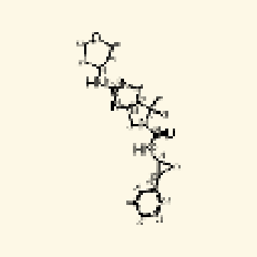 CC1(C)c2cnc(NC3CCOCC3)nc2CN1C(=O)NC1CC1c1ccccc1